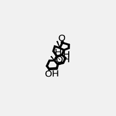 C[C@]12CCC(O)=CC1=CC[C@H]1[C@@H]3CCC(=O)[C@@]3(C)CC[C@@]12O